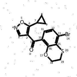 O=C(c1cnoc1C1CC1)c1ccc(Br)c2c1OCCS2